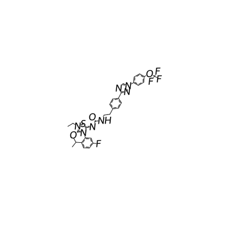 CCn1sc(=NC(=O)NCCc2ccc(-c3ncn(-c4ccc(OC(F)(F)F)cc4)n3)cc2)n(-c2cc(F)ccc2C(C)C)c1=O